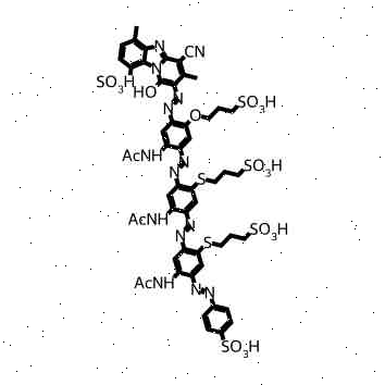 CC(=O)Nc1cc(N=Nc2cc(SCCCS(=O)(=O)O)c(N=Nc3cc(OCCCS(=O)(=O)O)c(N=Nc4c(C)c(C#N)c5nc6c(C)ccc(S(=O)(=O)O)c6n5c4O)cc3NC(C)=O)cc2NC(C)=O)c(SCCCS(=O)(=O)O)cc1N=Nc1ccc(S(=O)(=O)O)cc1